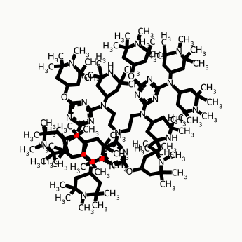 CN1C(C)(C)CC(Oc2nc(N(CCN(c3nc(OC4CC(C)(C)N(C)C(C)(C)C4)nc(N(C4CC(C)(C)N(C)C(C)(C)C4)C4CC(C)(C)N(C)C(C)(C)C4)n3)C3CC(C)(C)NC(C)(C)C3)CCN(c3nc(OC4CC(C)(C)N(C)C(C)(C)C4)nc(N(C4CC(C)(C)N(C)C(C)(C)C4)C4CC(C)(C)N(C)C(C)(C)C4)n3)C3CC(C)(C)NC(C)(C)C3)nc(N(C3CC(C)(C)N(C)C(C)(C)C3)C3CC(C)(C)N(C)C(C)(C)C3)n2)CC1(C)C